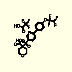 O=C(O)C(F)(F)F.O=C(O)C1(S(=O)(=O)c2ccc(-c3ccc(OC(F)(F)C(F)F)cc3)nc2)CCOCC1